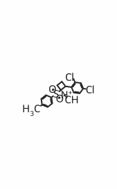 C#[N+]C1(S(=O)(=O)c2ccc(C)cc2)CCC1c1ccc(Cl)cc1Cl